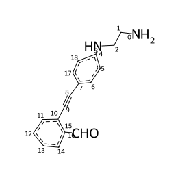 NCCNc1ccc(C#Cc2ccccc2C=O)cc1